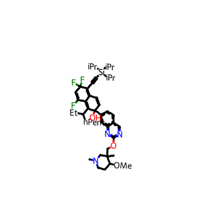 CCCCCC(CC)C1=C2C(F)=CC(F)(F)C(C#C[Si](C(C)C)(C(C)C)C(C)C)=C2C=CC1(O)c1ccc2cnc(OCC3(C)CN(C)CCC3OC)nc2c1